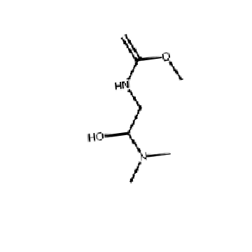 C=C(NCC(O)N(C)C)OC